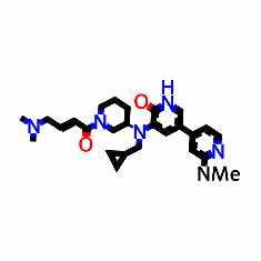 CNc1cc(-c2c[nH]c(=O)c(N(CC3CC3)[C@H]3CCCN(C(=O)/C=C/CN(C)C)C3)c2)ccn1